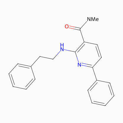 CNC(=O)c1ccc(-c2ccccc2)nc1NCCc1ccccc1